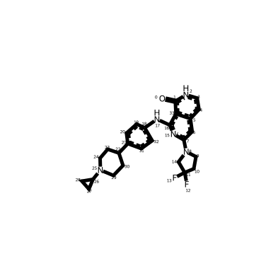 O=c1[nH]ccc2cc(N3CCC(F)(F)C3)nc(Nc3ccc(C4CCN(C5CC5)CC4)cc3)c12